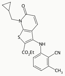 CCOC(=O)c1sc2c(ccc(=O)n2CC2CC2)c1Nc1cccc(C)c1C#N